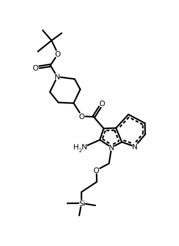 CC(C)(C)OC(=O)N1CCC(OC(=O)c2c(N)n(COCC[Si](C)(C)C)c3ncccc23)CC1